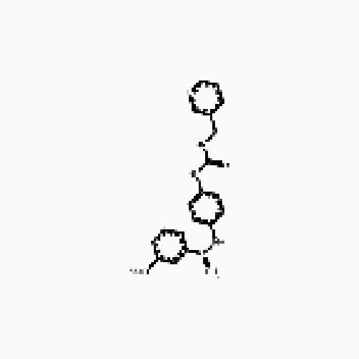 C=S(Nc1ccc(NC(=O)NCc2cccnc2)cc1)c1cccc(OC)c1